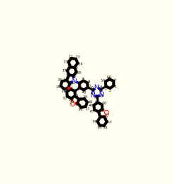 c1ccc(-c2nc(-c3ccc(-n4c5ccccc5c5cc6ccccc6cc54)c(-c4cccc5oc6ccccc6c45)c3)nc(-c3ccc4c(c3)oc3ccccc34)n2)cc1